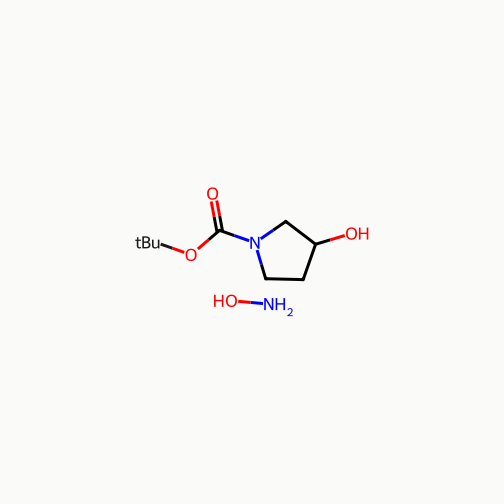 CC(C)(C)OC(=O)N1CCC(O)C1.NO